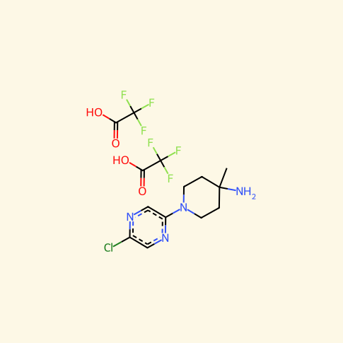 CC1(N)CCN(c2cnc(Cl)cn2)CC1.O=C(O)C(F)(F)F.O=C(O)C(F)(F)F